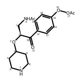 CC(=O)NC[C@H](OC1CCNCC1)C(=O)c1ccc(OOC(C)=O)cc1